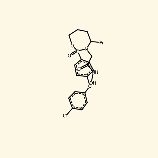 CC(C)C1CCCOP(=O)(c2ccc(Oc3ccc(Cl)cc3)cc2)N1CC(=O)NO